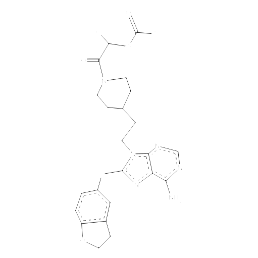 CC(=O)OC(C)C(=O)N1CCC(CCn2c(Sc3ccc4c(c3)CCO4)nc3c(N)ncnc32)CC1